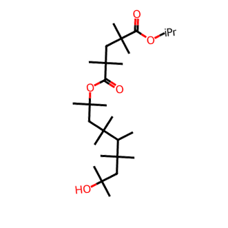 CC(C)OC(=O)C(C)(C)CC(C)(C)C(=O)OC(C)(C)CC(C)(C)C(C)C(C)(C)CC(C)(C)O